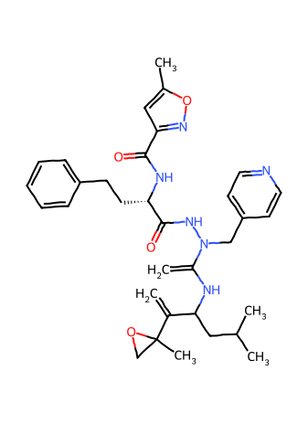 C=C(NC(CC(C)C)C(=C)C1(C)CO1)N(Cc1ccncc1)NC(=O)[C@H](CCc1ccccc1)NC(=O)c1cc(C)on1